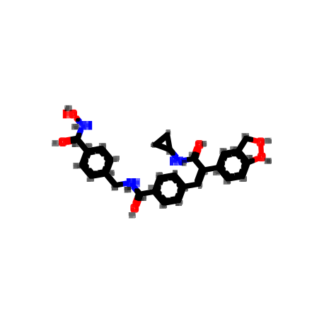 O=C(NC1CC1)/C(=C\c1ccc(C(=O)NCc2ccc(C(=O)NO)cc2)cc1)c1ccc2c(c1)COO2